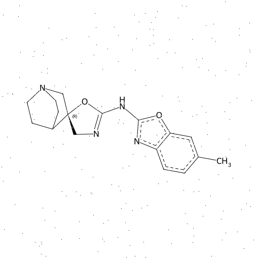 Cc1ccc2nc(NC3=NC[C@@]4(CN5CCC4CC5)O3)oc2c1